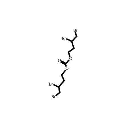 O=C(OCCC(Br)CBr)OCCC(Br)CBr